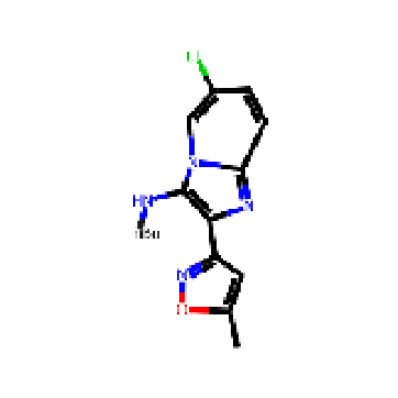 CCCCNc1c(-c2cc(C)on2)nc2ccc(Cl)cn12